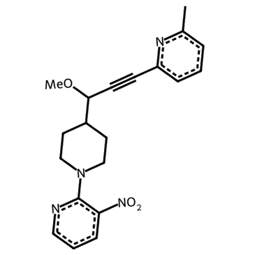 COC(C#Cc1cccc(C)n1)C1CCN(c2ncccc2[N+](=O)[O-])CC1